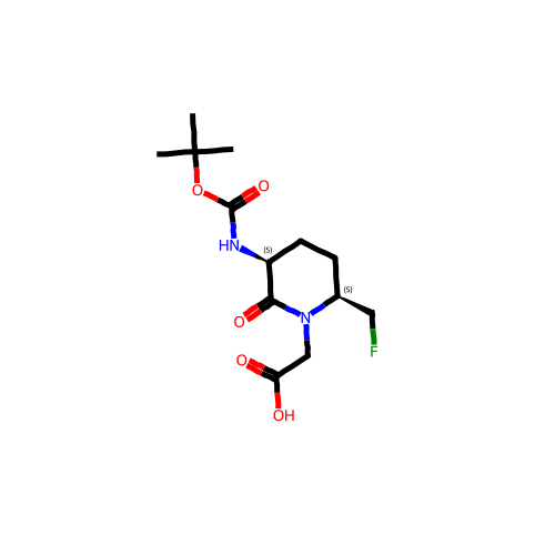 CC(C)(C)OC(=O)N[C@H]1CC[C@@H](CF)N(CC(=O)O)C1=O